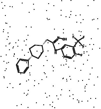 O/N=C(/C[C@H]1CC[C@@H](c2ccccc2)CC1)Nc1ccc(F)c(C(F)(F)F)c1